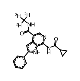 [2H]C([2H])([2H])NC(=O)c1cnc(NC(=O)C2CC2)c2[nH]c(-c3ccccc3)cc12